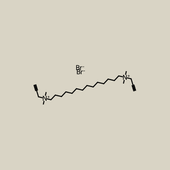 C#CC[N+](C)(C)CCCCCCCCCCCCCC[N+](C)(C)CC#C.[Br-].[Br-]